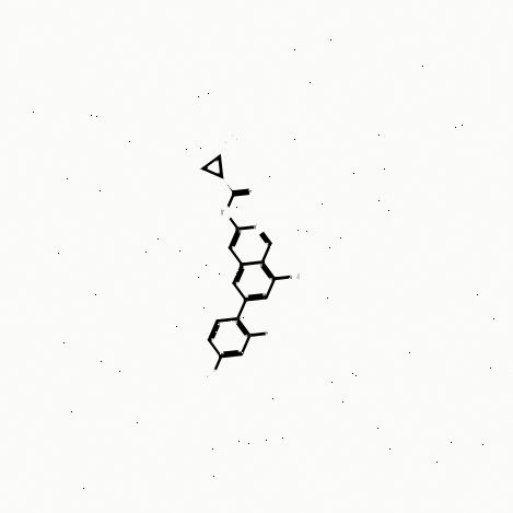 Cc1cc(C#N)ccc1-c1cc(N)c2cnc(NC(=O)[C@H]3C[C@@H]3C#N)cc2c1